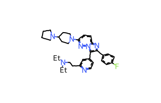 CCN(CC)CCc1cc(-c2c(-c3ccc(F)cc3)nc3ccc(N4CCC(N5CCCC5)CC4)nn23)ccn1